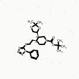 CC(C)(C)OC(=O)N1CC[C@@H](CCSc2nnnn2-c2ccccc2)[C@@H](C2COC(C)(C)O2)C1